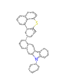 c1ccc(-n2c3ccccc3c3cc4c(-c5ccc6c(c5)-c5cccc7cccc(c57)S6)cccc4cc32)cc1